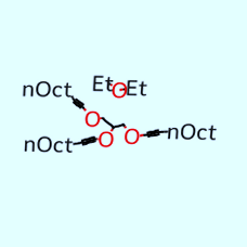 CCCCCCCCC#COCC(COC#CCCCCCCCC)OC#CCCCCCCCC.CCOCC